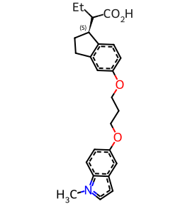 CCC(C(=O)O)[C@@H]1CCc2cc(OCCCOc3ccc4c(ccn4C)c3)ccc21